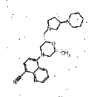 C[C@@H]1CN(c2ccc(C#N)c3ncccc23)C[C@H](CN2CCC(N3CCCCC3)C2)O1